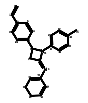 C=Cc1ccc(C2C/C(=N\C3=CCCC=C3)N2c2ccc(C)cc2)cc1